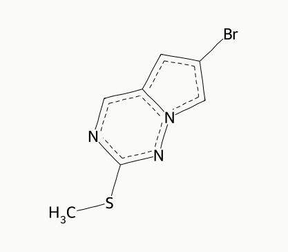 CSc1ncc2cc(Br)cn2n1